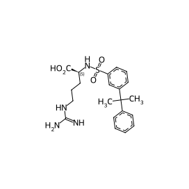 CC(C)(c1ccccc1)c1cccc(S(=O)(=O)N[C@@H](CCCNC(=N)N)C(=O)O)c1